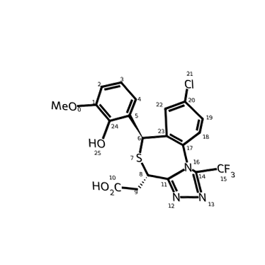 COc1cccc([C@@H]2S[C@@H](CC(=O)O)c3nnc(C(F)(F)F)n3-c3ccc(Cl)cc32)c1O